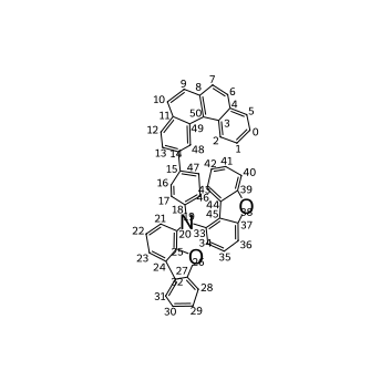 c1ccc2c(c1)ccc1ccc3ccc(-c4ccc(N(c5cccc6c5oc5ccccc56)c5cccc6oc7ccccc7c56)cc4)cc3c12